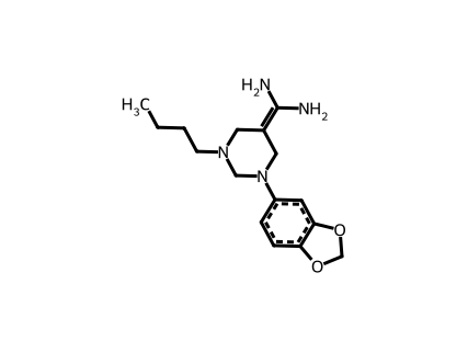 CCCCN1CC(=C(N)N)CN(c2ccc3c(c2)OCO3)C1